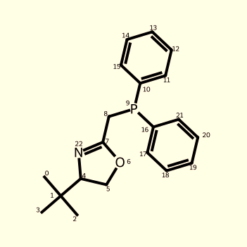 CC(C)(C)C1COC(CP(c2ccccc2)c2ccccc2)=N1